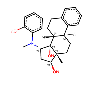 CN(c1ccccc1O)[C@H]1C[C@H](O)[C@@]2(C)CC[C@@H]3c4ccccc4CC[C@H]3[C@]12O